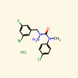 CN(C(=O)N(N)Cc1cc(F)cc(Br)c1)c1ccc(Cl)cc1.Cl